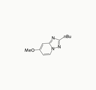 CCCCc1nc2cc(OC)ccn2n1